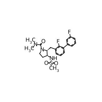 CN(C)C(=O)N1CC[C@H](NS(C)(=O)=O)[C@@H]1Cc1cccc(-c2cccc(F)c2)c1F